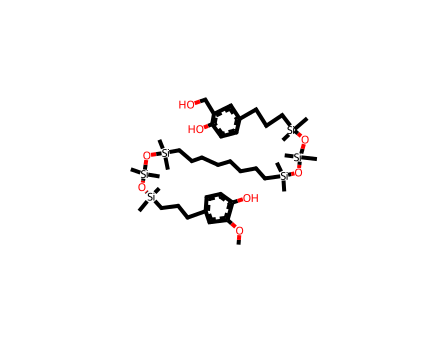 COc1cc(CCC[Si](C)(C)O[Si](C)(C)O[Si](C)(C)CCCCCCCC[Si](C)(C)O[Si](C)(C)O[Si](C)(C)CCCc2ccc(O)c(CO)c2)ccc1O